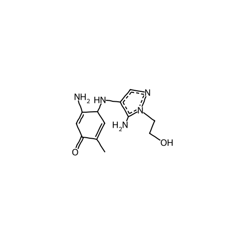 CC1=CC(Nc2cnn(CCO)c2N)C(N)=CC1=O